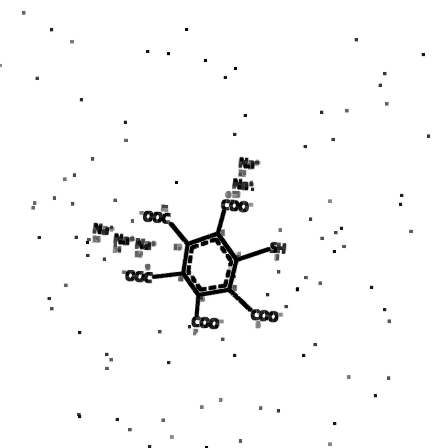 O=C([O-])c1c(S)c(C(=O)[O-])c(C(=O)[O-])c(C(=O)[O-])c1C(=O)[O-].[Na+].[Na+].[Na+].[Na+].[Na+]